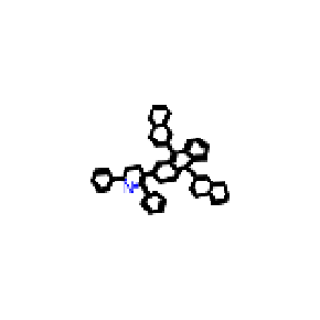 c1ccc(-c2ccc(-c3ccc4c(-c5ccc6ccccc6c5)c5ccccc5c(-c5ccc6ccccc6c5)c4c3)c(-c3ccccc3)n2)cc1